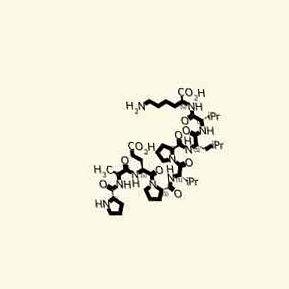 CC(C)C[C@H](NC(=O)[C@@H]1CCCN1C(=O)[C@@H](NC(=O)[C@@H]1CCCN1C(=O)[C@H](CCC(=O)O)NC(=O)[C@H](C)NC(=O)[C@@H]1CCCN1)C(C)C)C(=O)N[C@H](C(=O)N[C@@H](CCCCN)C(=O)O)C(C)C